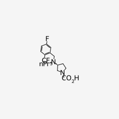 CCCN(Cc1cc(F)ccc1C(F)(F)F)[C@H]1CCN(C(=O)O)C1